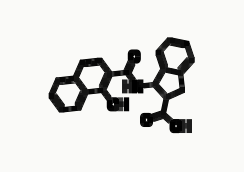 O=C(NC1c2ccccc2CC1C(=O)O)c1ccc2ccccc2c1O